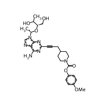 COc1ccc(OC(=O)N2CCC(CC#Cc3nc(N)c4ncn([C@@H](C)O[C@H](CO)C(C)O)c4n3)CC2)cc1